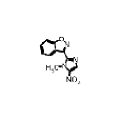 Cn1c([N+](=O)[O-])cnc1-c1noc2ccccc12